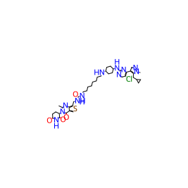 Cc1nc2c(CNC(=O)NCCCCCCCCN[C@H]3CC[C@H](Nc4ncc(Cl)c(-c5cnn(C)c5CC5CC5)n4)CC3)scc2c(=O)n1C1CCC(=O)NC1=O